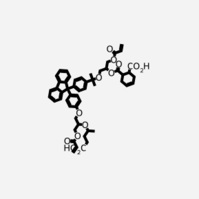 C=CC(=O)OCC(COC(C)(C)c1ccc(C2(c3ccc(OCC(COC(=O)C=C)OC(C)CCC(=O)O)cc3)c3ccccc3-c3ccccc32)cc1)OC(=O)C1CC=CCC1C(=O)O